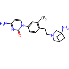 Nc1ccn(-c2ccc(CCN3CC4CC(N)(C4)C3)c(C(F)(F)F)c2)c(=O)n1